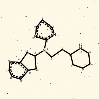 c1cnc(N(CCC2CCCCN2)C2Cc3ccccc3C2)nc1